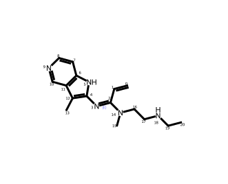 C=C/C(=N\c1[nH]c2ccncc2c1C)N(C)CCNCC